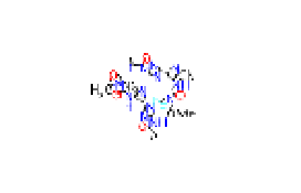 CC1COCCN1C(=O)CNc1cc(-c2cnc(NC(=O)C3CC3)cn2)cnc1C#N.COCCN(CC(F)F)C(=O)CNc1cc(-c2cnc(NC(=O)C3CC3)cn2)cnc1C#N